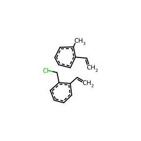 C=Cc1ccccc1C.C=Cc1ccccc1CCl